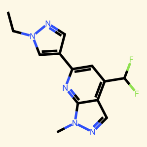 CCn1cc(-c2cc(C(F)F)c3cnn(C)c3n2)cn1